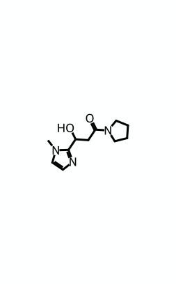 Cn1ccnc1C(O)CC(=O)N1CCCC1